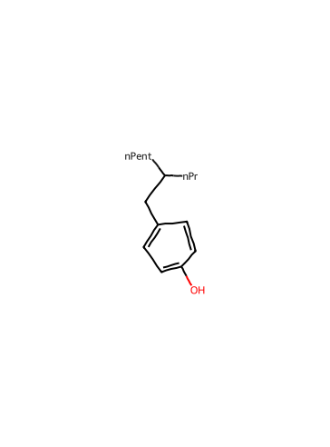 CCCCCC(CCC)Cc1ccc(O)cc1